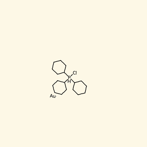 Cl[PH](C1CCCCC1)(C1CCCCC1)C1CCCCC1.[Au]